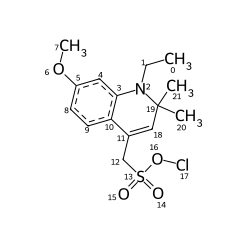 CCN1c2cc(OC)ccc2C(CS(=O)(=O)OCl)=CC1(C)C